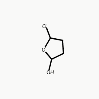 O[C]1CCC(Cl)O1